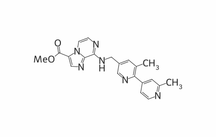 COC(=O)c1cnc2c(NCc3cnc(-c4ccnc(C)c4)c(C)c3)nccn12